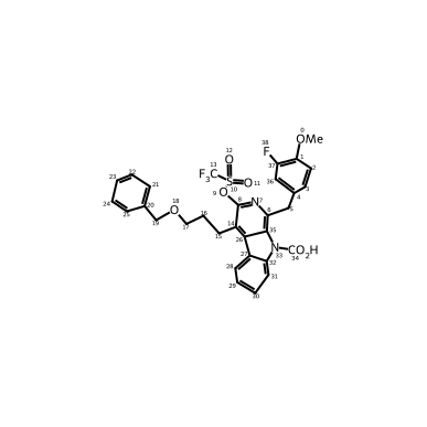 COc1ccc(Cc2nc(OS(=O)(=O)C(F)(F)F)c(CCCOCc3ccccc3)c3c4ccccc4n(C(=O)O)c23)cc1F